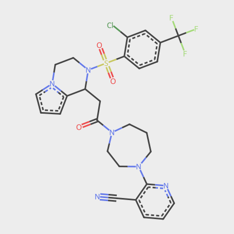 N#Cc1cccnc1N1CCCN(C(=O)CC2c3cccn3CCN2S(=O)(=O)c2ccc(C(F)(F)F)cc2Cl)CC1